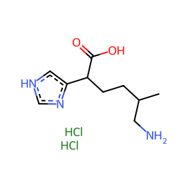 CC(CN)CCC(C(=O)O)c1c[nH]cn1.Cl.Cl